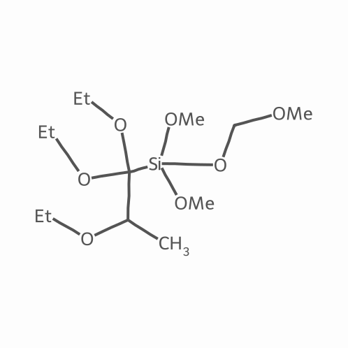 CCOC(C)C(OCC)(OCC)[Si](OC)(OC)OCOC